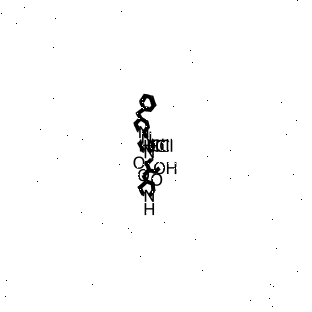 Cl.Cl.Cl.O=C(O)C(OC1CCNCC1)C(=O)CN1CCN(N2CCC(Cc3ccccc3)CC2)CC1